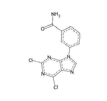 NC(=O)c1cccc(-n2cnc3c(Cl)nc(Cl)nc32)c1